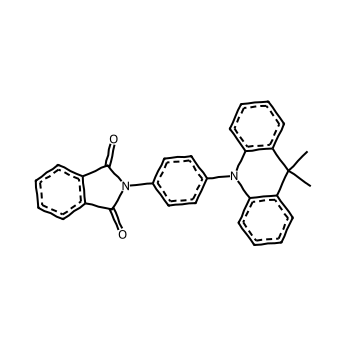 CC1(C)c2ccccc2N(c2ccc(N3C(=O)c4ccccc4C3=O)cc2)c2ccccc21